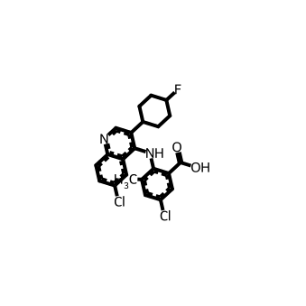 Cc1cc(Cl)cc(C(=O)O)c1Nc1c(C2CCC(F)CC2)cnc2ccc(Cl)cc12